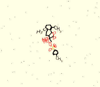 CC1=C2C3OC(=O)C(O)(COS(=O)(=O)c4ccc(C)cc4)[C@]3(O)CCC2(C)CCC1